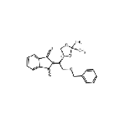 CC1(C)OC[C@H](C(COCc2ccccc2)N2C(=O)c3ccccc3C2=O)O1